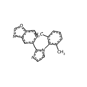 Cc1cccc(C)c1-n1ccnc1-c1ccc2ocnc2c1